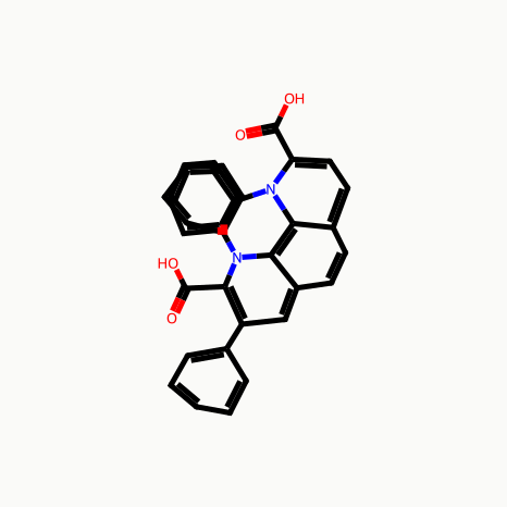 O=C(O)C1=CC=c2ccc3c(c2N1c1ccccc1)N(c1ccccc1)C(C(=O)O)=C(c1ccccc1)C=3